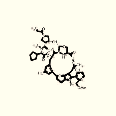 C=CC(=O)N1C[C@H](C)[C@H](C(=O)N(C)[C@H](C(=O)N[C@H]2Cc3cc(O)cc(c3)-c3ccc4c(c3)c(c(-c3cccnc3COC)n4CC)CC(C)(C)COC(=O)[C@@H]3CCCN(N3)C2=O)C2CCCC2)C1